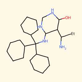 CCC(N)C1C(O)NCNC1NC(C1CCCCC1)(C1CCCCC1)C1CCCCC1